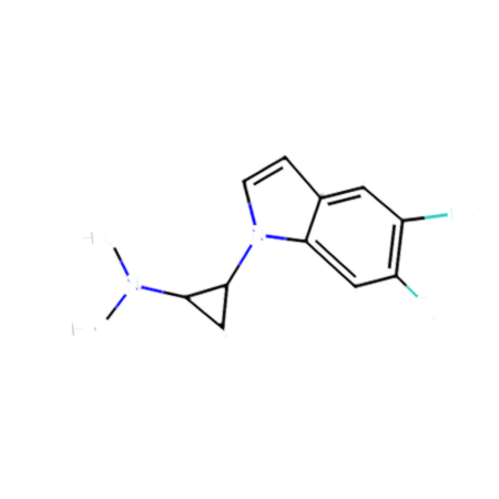 CN(C)C1CC1n1ccc2cc(F)c(F)cc21